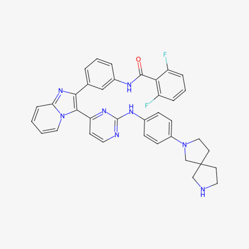 O=C(Nc1cccc(-c2nc3ccccn3c2-c2ccnc(Nc3ccc(N4CCC5(CCNC5)C4)cc3)n2)c1)c1c(F)cccc1F